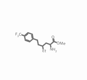 CCC(CCc1ccc(C(F)(F)F)cc1)CC(N)C(=O)OC